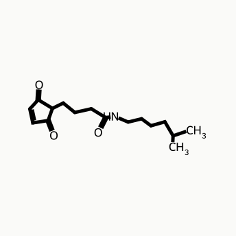 CC(C)CCCCNC(=O)CCCC1C(=O)C=CC1=O